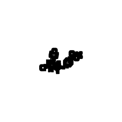 Cc1c(CN2CCN(C(=O)OC(C)(C)C)CC2)sc2c(N3CCOCC3)nc(Cl)nc12